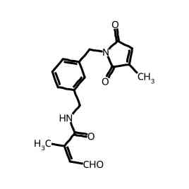 CC1=CC(=O)N(Cc2cccc(CNC(=O)/C(C)=C\C=O)c2)C1=O